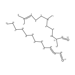 CC(C)=CCCC(C)CCCC(C)C=O.CCCCCCCCC/C=C/C=O